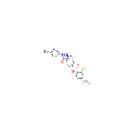 CCc1ccc(NC(=O)C2(N)CCN(S(=O)(=O)c3ccc(C(F)(F)F)cc3Cl)CC2)cc1